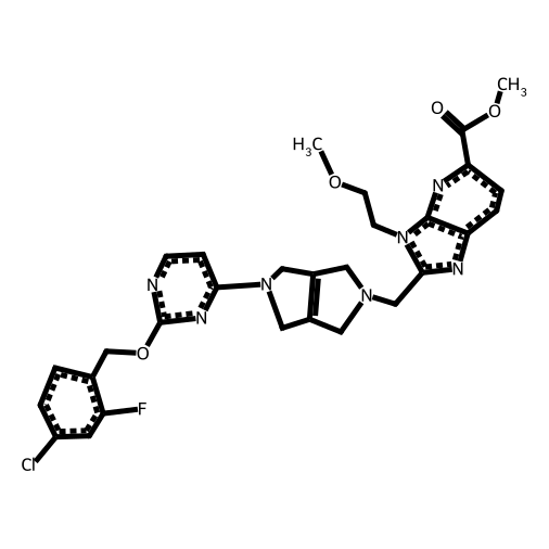 COCCn1c(CN2CC3=C(C2)CN(c2ccnc(OCc4ccc(Cl)cc4F)n2)C3)nc2ccc(C(=O)OC)nc21